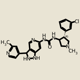 Cc1cc(C2NNc3cc(NC(=O)NC4CN(C)C[C@H]4c4cccc(Cl)c4)ncc32)ccn1